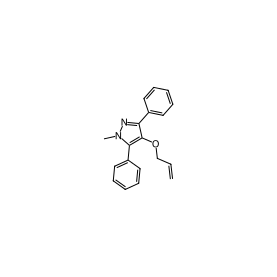 C=CCOc1c(-c2ccccc2)nn(C)c1-c1ccccc1